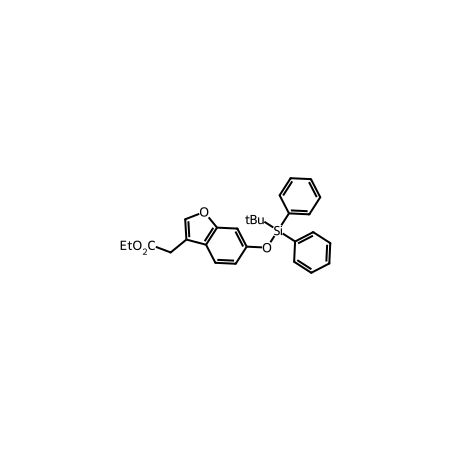 CCOC(=O)Cc1coc2cc(O[Si](c3ccccc3)(c3ccccc3)C(C)(C)C)ccc12